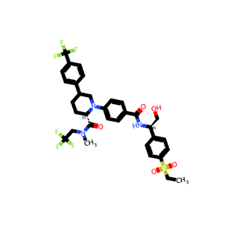 CCS(=O)(=O)c1ccc([C@H](CO)NC(=O)c2ccc(N3CC(c4ccc(C(F)(F)F)cc4)CC[C@H]3C(=O)N(C)CC(F)(F)F)cc2)cc1